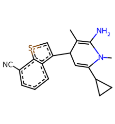 CC1=C(N)N(C)C(C2CC2)=CC1c1csc2c(C#N)cccc12